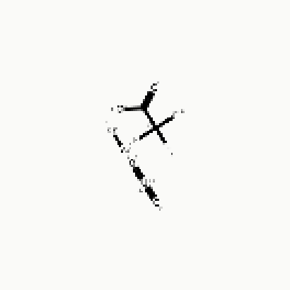 CC(=O)[O-].O=C([O-])C(F)(F)F.[O]=[U+2]=[O]